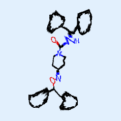 O=C(NC(c1ccccc1)c1ccccc1)N1CCC(=NOC(c2ccccc2)c2ccccc2)CC1